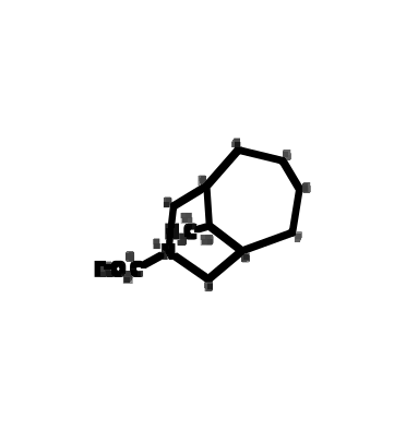 CCOC(=O)N1CC2CCCCC(C1)C2C